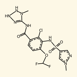 CN1NNN=C1NC(=O)c1ccc(OC(F)F)c(NS(=O)(=O)c2cnn(C)c2)c1Cl